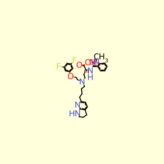 Cn1nc(N[C@@H](CCN(CCCCc2ccc3c(n2)NCCC3)CCOc2cc(F)cc(F)c2)C(=O)O)c2ccccc21